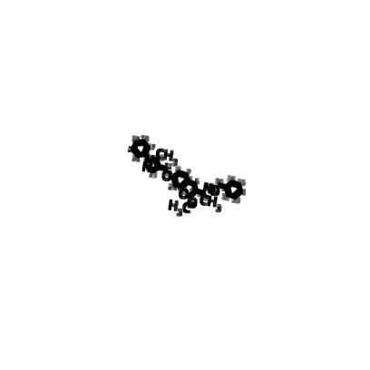 COC(=O)C(Cc1ccc(OCc2cnn(-c3ccccc3)c2C)cc1)C(C)=NOCc1ccccc1